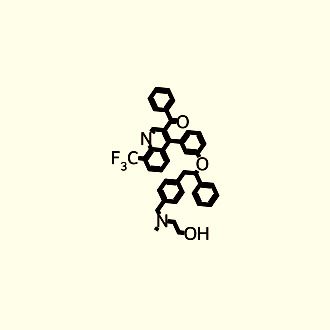 CN(CCO)Cc1ccc(CC(Oc2cccc(-c3c(C(=O)c4ccccc4)cnc4c(C(F)(F)F)cccc34)c2)c2ccccc2)cc1